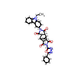 CCn1c2ccccc2c2cc(N3C(=O)C4C5C=CC(C4C3=O)C3C(=O)N(c4nnc(-c6ccccc6)o4)C(=O)C53)ccc21